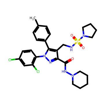 Cc1ccc(-c2c(CNS(=O)(=O)N3CCCC3)c(C(=O)NN3CCCCC3)nn2-c2ccc(Cl)cc2Cl)cc1